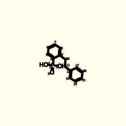 O=P(O)(O)c1ccccc1CCc1ccccc1